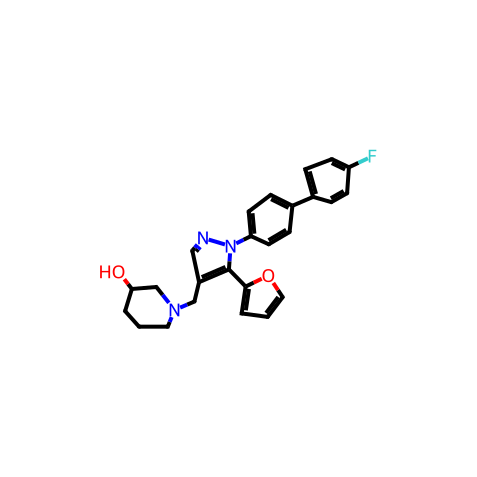 OC1CCCN(Cc2cnn(-c3ccc(-c4ccc(F)cc4)cc3)c2-c2ccco2)C1